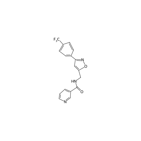 O=C(NCc1cc(-c2ccc(C(F)(F)F)cc2)no1)c1cccnc1